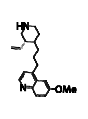 C=C[C@@H]1CNCCC1CCCc1ccnc2ccc(OC)cc12